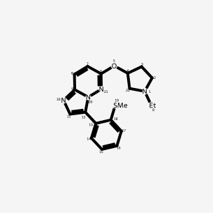 CCN1CCC(Oc2ccc3ncc(-c4ccccc4SC)n3n2)C1